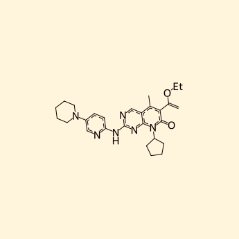 C=C(OCC)c1c(C)c2cnc(Nc3ccc(N4CCCCC4)cn3)nc2n(C2CCCC2)c1=O